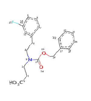 O=C(O)CCN(CCc1cccc(F)c1)C(=O)OCc1ccccc1